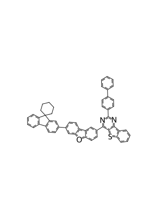 c1ccc(-c2ccc(-c3nc(-c4ccc5oc6cc(-c7ccc8c(c7)C7(CCCCC7)c7ccccc7-8)ccc6c5c4)c4sc5ccccc5c4n3)cc2)cc1